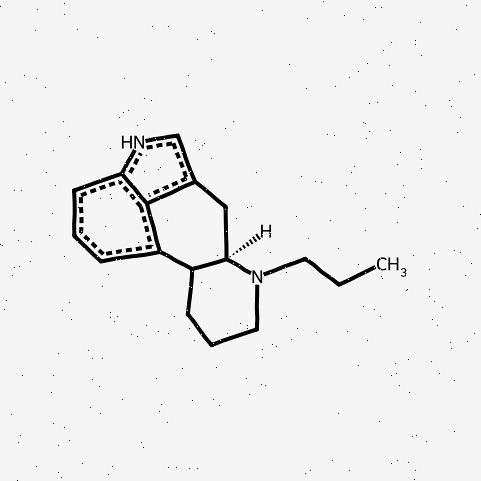 CCCN1CCCC2c3cccc4[nH]cc(c34)C[C@H]21